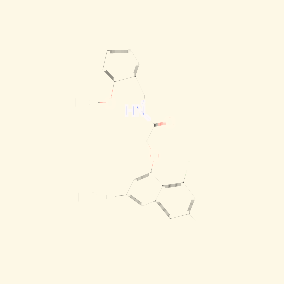 O=C(COc1cc(C(=O)O)cc2cc(Cl)cc(Cl)c12)NCc1ccccc1OC(F)(F)F